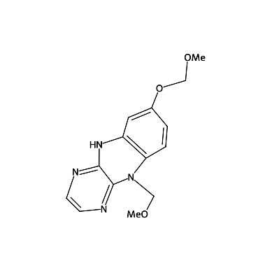 COCOc1ccc2c(c1)Nc1nccnc1N2COC